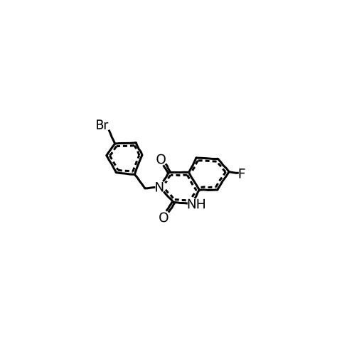 O=c1[nH]c2cc(F)ccc2c(=O)n1Cc1ccc(Br)cc1